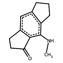 CNc1c2c(cc3c1C(=O)CC3)CCC2